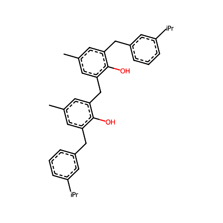 Cc1cc(Cc2cccc(C(C)C)c2)c(O)c(Cc2cc(C)cc(Cc3cccc(C(C)C)c3)c2O)c1